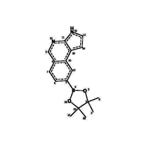 CC1(C)OB(c2ccc3cnc4[nH]ccc4c3c2)OC1(C)C